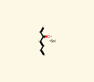 C=CC=CC(=O)C=C.[Sn]